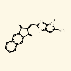 CC(C)c1cc2oc(C=C3C(=O)c4cc5ccccc5cc4C3=O)nc2n1C